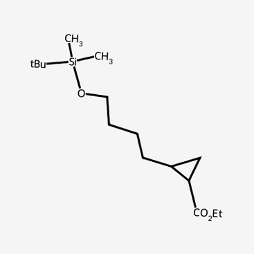 CCOC(=O)C1CC1CCCCO[Si](C)(C)C(C)(C)C